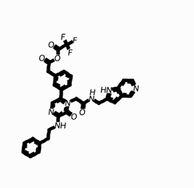 O=C(Cn1c(-c2cccc(CC(=O)OC(=O)C(F)(F)F)c2)cnc(NCCc2ccccc2)c1=O)NCc1cc2cnccc2[nH]1